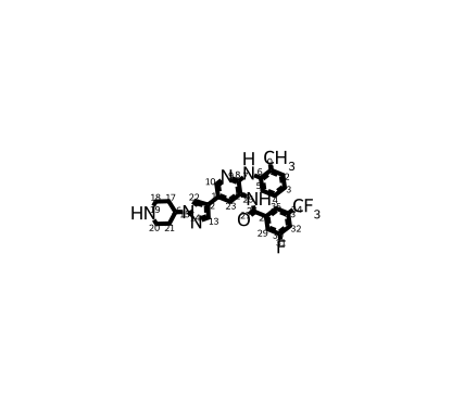 Cc1ccccc1Nc1ncc(-c2cnn(C3CCNCC3)c2)cc1NC(=O)c1cc(F)cc(C(F)(F)F)c1